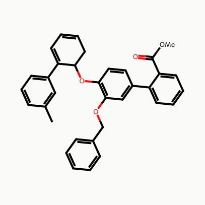 COC(=O)c1ccccc1-c1ccc(OC2CC=CC=C2c2cccc(C)c2)c(OCc2ccccc2)c1